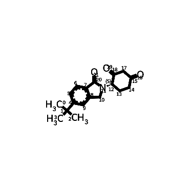 CC(C)(C)c1ccc2c(c1)CN([C@H]1CCC(=O)CC1=O)C2=O